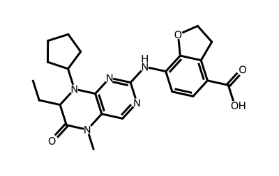 CCC1C(=O)N(C)c2cnc(Nc3ccc(C(=O)O)c4c3OCC4)nc2N1C1CCCC1